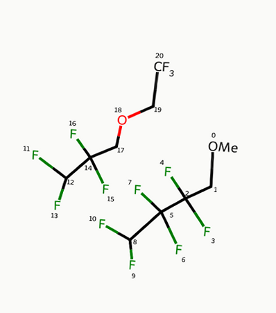 COCC(F)(F)C(F)(F)C(F)F.FC(F)C(F)(F)COCC(F)(F)F